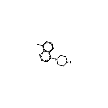 Cc1cccc2c(N3CCNCC3)ccnc12